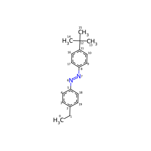 CCc1ccc(/N=N/c2ccc(C(C)(C)C)cc2)cc1